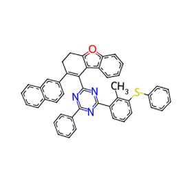 Cc1c(Sc2ccccc2)cccc1-c1nc(C2=C(c3ccc4ccccc4c3)CCc3oc4ccccc4c32)nc(-c2ccccc2)n1